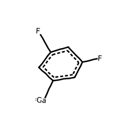 Fc1cc(F)c[c]([Ga])c1